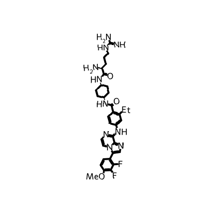 CCc1cc(Nc2nccn3c(-c4ccc(OC)c(F)c4F)cnc23)ccc1C(=O)N[C@H]1CC[C@@H](NC(=O)[C@@H](N)CCCNC(=N)N)CC1